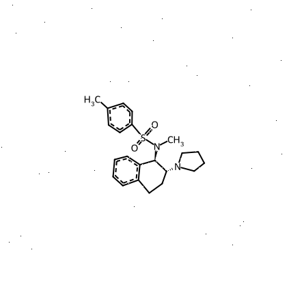 Cc1ccc(S(=O)(=O)N(C)[C@@H]2c3ccccc3CC[C@H]2N2CCCC2)cc1